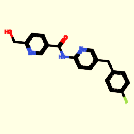 O=C(Nc1ccc(Cc2ccc(F)cc2)cn1)c1ccc(CO)nc1